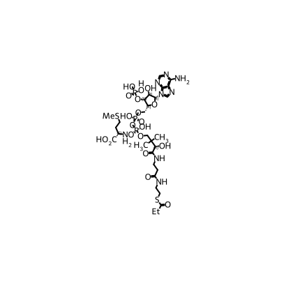 CCC(=O)SCCNC(=O)CCNC(=O)[C@H](O)C(C)(C)COP(=O)(O)OP(=O)(O)OC[C@H]1O[C@@H](n2cnc3c(N)ncnc32)[C@H](O)[C@@H]1OP(=O)(O)O.CSCC[C@H](N)C(=O)O